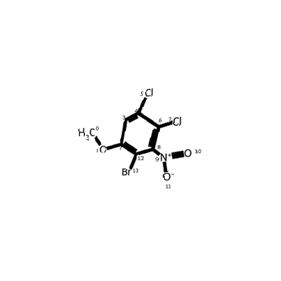 COc1cc(Cl)c(Cl)c([N+](=O)[O-])c1Br